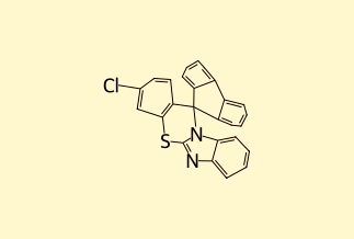 Clc1ccc2c(c1)Sc1nc3ccccc3n1C21c2ccccc2-c2ccccc21